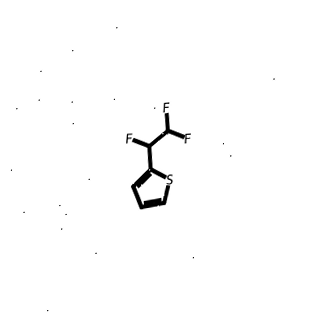 F[C](F)C(F)c1cccs1